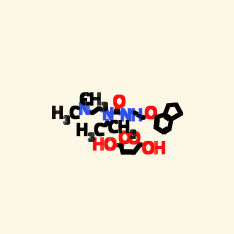 CC(C)N(CCN(C)C)C(=O)NCCOc1cccc2c1CCC2.O=C(O)/C=C\C(=O)O